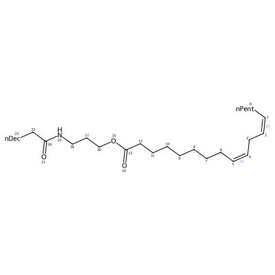 CCCCC/C=C\C/C=C\CCCCCCCC(=O)OCCCNC(=O)CCCCCCCCCCC